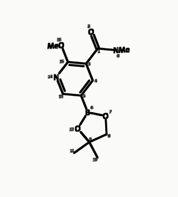 CNC(=O)c1cc(B2OCC(C)(C)O2)cnc1OC